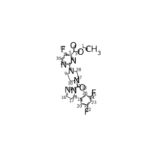 CCOC(=O)c1nc(N2CCN(C(=O)N3N=CC[C@H]3c3cc(F)cc(F)c3)CC2)ncc1F